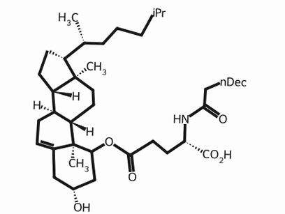 CCCCCCCCCCCC(=O)N[C@@H](CCC(=O)OC1C[C@H](O)CC2=CC[C@H]3[C@@H]4CC[C@H]([C@H](C)CCCC(C)C)[C@@]4(C)CC[C@@H]3[C@]21C)C(=O)O